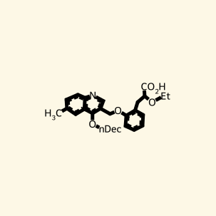 CCCCCCCCCCOc1c(COc2ccccc2CC(OCC)C(=O)O)cnc2ccc(C)cc12